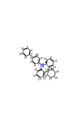 c1ccc(-c2ccc(N3c4ccccc4C4(CCCCC4)c4ccccc43)cc2)cc1